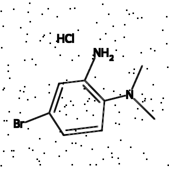 CN(C)c1ccc(Br)cc1N.Cl